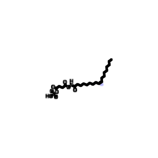 CCCCCCCC/C=C\CCCCCCCC(=O)NOC(=O)CCC(=O)OS(=O)(=O)O